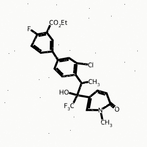 CCOC(=O)c1cc(-c2ccc(C(C)C(O)(c3ccc(=O)n(C)c3)C(F)(F)F)c(Cl)c2)ccc1F